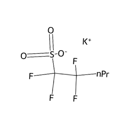 CCCC(F)(F)C(F)(F)S(=O)(=O)[O-].[K+]